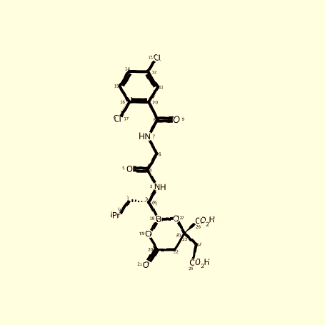 CC(C)C[C@H](NC(=O)CNC(=O)c1cc(Cl)ccc1Cl)B1OC(=O)C[C@](CC(=O)O)(C(=O)O)O1